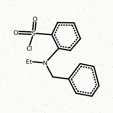 CCN(Cc1ccccc1)c1ccccc1S(=O)(=O)Cl